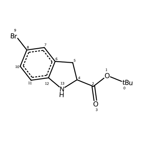 CC(C)(C)OC(=O)C1Cc2cc(Br)ccc2N1